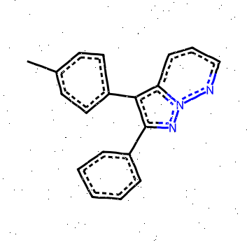 Cc1ccc(-c2c(-c3ccccc3)nn3ncccc23)cc1